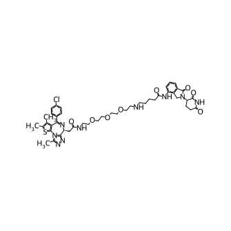 Cc1sc2c(c1C)C(c1ccc(Cl)cc1)=N[C@@H](CC(=O)NCCOCCOCCOCCNCCCCC(=O)Nc1cccc3c1CN(C1CCC(=O)NC1=O)C3=O)c1nnc(C)n1-2